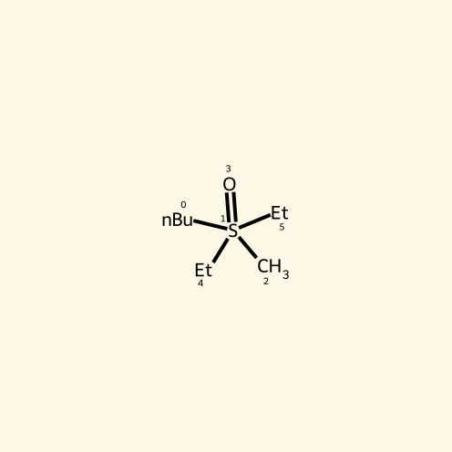 CCCCS(C)(=O)(CC)CC